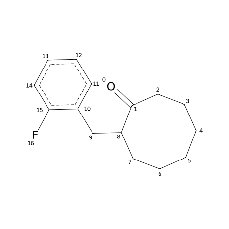 O=C1CCCCCCC1Cc1ccccc1F